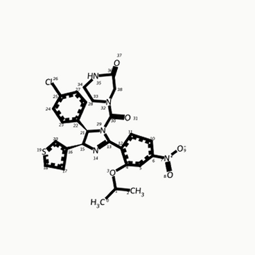 CC(C)Oc1cc([N+](=O)[O-])ccc1C1=N[C@@H](c2ccsc2)[C@@H](c2ccc(Cl)cc2)N1C(=O)N1CCNC(=O)C1